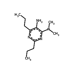 CCCc1nc(CCC)c(N)c(N(C)C)n1